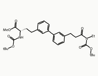 CCN(C(=O)CCc1cccc(-c2cccc(CC[C@H](NC(=O)OC(C)(C)C)C(=O)OC)c2)c1)C(=O)OC(C)(C)C